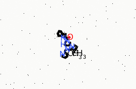 Cc1cccnc1CN(Cc1ncccc1C)C1CCN(C(=O)c2cc3ccccc3[nH]2)CC1